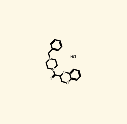 Cl.O=C(C1COc2ccccc2O1)N1CCN(Cc2ccccc2)CC1